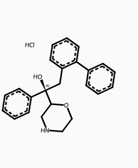 Cl.O[C@](Cc1ccccc1-c1ccccc1)(c1ccccc1)C1CNCCO1